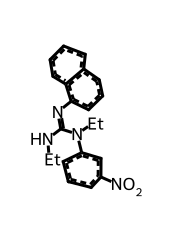 CCNC(=Nc1cccc2ccccc12)N(CC)c1cccc([N+](=O)[O-])c1